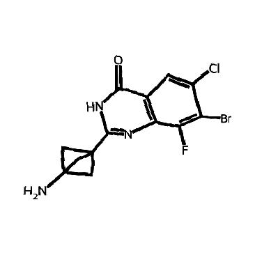 NC12CC(c3nc4c(F)c(Br)c(Cl)cc4c(=O)[nH]3)(C1)C2